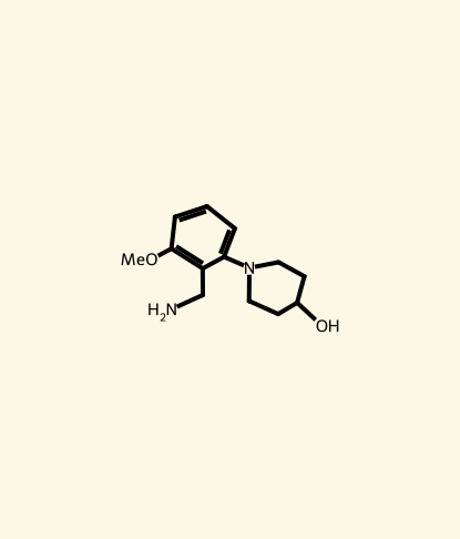 COc1cccc(N2CCC(O)CC2)c1CN